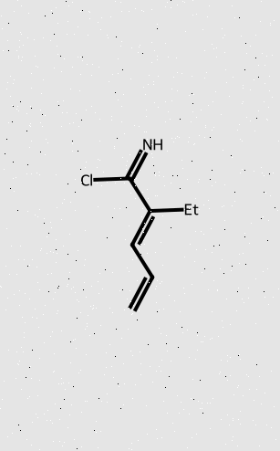 C=C/C=C(\CC)C(=N)Cl